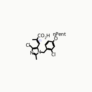 CCCCCOc1ccc(Cn2c(C)nc(Cl)c2/C=C(\C)C(=O)O)c(Cl)c1